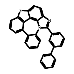 c1ccc(-c2cccc(-c3nc4ccc5sc6cccc7c8ccccc8n3c4c5c67)c2)cc1